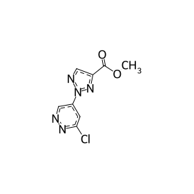 COC(=O)c1cnn(-c2cnnc(Cl)c2)n1